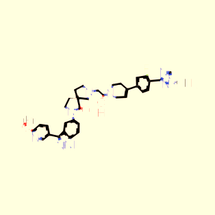 CC(C)Oc1ccc(-c2n[nH]c3ccc(N4CC[C@]5(CCN(CC(O)N6CC=C(c7ccc(-c8ncn(C)n8)c(F)c7)CC6)C5)C4=O)cc23)cn1